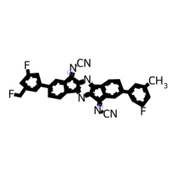 Cc1cc(F)cc(-c2ccc3c(c2)/c(=N\C#N)c2nc4c(nc23)/c(=N\C#N)c2cc(-c3cc(F)cc(CF)c3)ccc24)c1